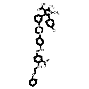 Cc1c(C(=O)O)c(-c2cccc(N3CCN(c4ccc(NSc5ccc(NCCSc6ccccc6)c([N+](=O)[O-])c5)cc4)CC3)c2)c(-c2ccc(Cl)cc2)n1C